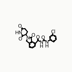 O=C1CCC(N2Cc3cccc(C(=O)NC(=O)Nc4cccc(Cl)c4)c3C2=O)C(=O)N1